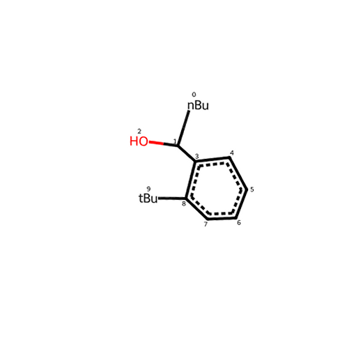 CCCCC(O)c1ccccc1C(C)(C)C